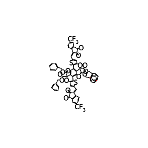 O=C1C(=O)c2cc(C(F)(F)F)ccc2/C1=C/c1cc2c(s1)-c1cc3c(cc1C(C(=O)OCc1ccccc1)(C(=O)OCc1ccccc1)O2)-c1sc(/C=C2\C(=O)C(=O)c4cc(C(F)(F)F)ccc42)cc1OC3(C(=O)OCc1ccccc1)C(=O)OCc1ccccc1